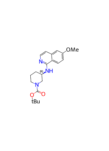 COc1ccc2c(N[C@@H]3CCCN(C(=O)OC(C)(C)C)C3)nccc2c1